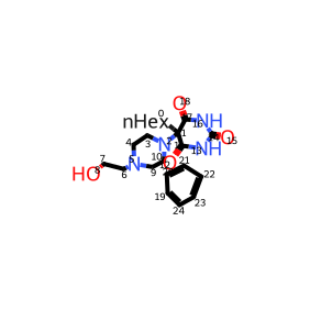 CCCCCCC1(N2CCN(CCO)CC2)C(=O)NC(=O)NC1=O.c1ccccc1